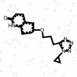 O=c1ccc2cc(OCCCc3nnnn3C3CC3)ccc2[nH]1